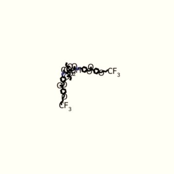 C=CC(=O)OC(COC(=O)/C=C/c1ccc(OC(=O)c2ccc(OCCCC(F)(F)F)cc2)cc1)(C/C(=C\c1ccc(OC(=O)c2ccc(OCCCC(F)(F)F)cc2)cc1)C(=O)O)OC(=O)C=C